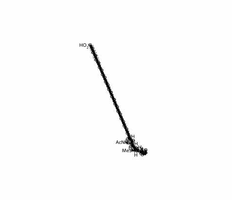 CSCC[C@H](NC(=O)CNC(=O)[C@H](CN)N1C(=O)CCC1=O)C(=O)NCC(=O)N[C@@H](CSCNC(C)=O)C(=O)NCC(=O)NCCOCCOCCOCCOCCOCCOCCOCCOCCOCCOCCOCCOCCOCCOCCOCCOCCOCCOCCOCCOCCOCCOCCOCCOCCC(=O)O